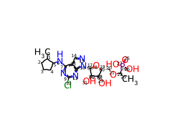 CC1CCCC1Nc1nc(Cl)nc2c1cnn2[C@@H]1O[C@H](COC(C)P(=O)(O)O)[C@@H](O)[C@H]1O